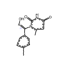 Cc1ccc(/C(=N/O)n2c(C)cc(=O)[nH]c2=O)cc1